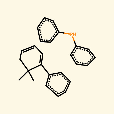 CC1(C)CC=CC=C1c1ccccc1.c1ccc(Pc2ccccc2)cc1